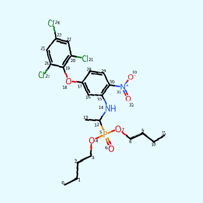 CCCCOP(=O)(OCCCC)C(C)Nc1cc(Oc2c(Cl)cc(Cl)cc2Cl)ccc1[N+](=O)[O-]